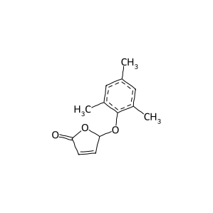 Cc1cc(C)c(OC2C=CC(=O)O2)c(C)c1